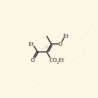 CCOC(=O)/C(C(=O)CC)=C(/C)OCC